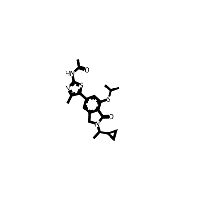 CC(=O)Nc1nc(C)c(-c2cc3c(c(SC(C)C)c2)C(=O)N(C(C)C2CC2)C3)s1